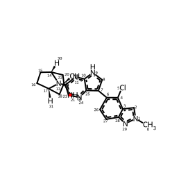 Cn1cc2c(Cl)c(-c3c[nH]c4nc(N5[C@@H]6CC[C@H]5C[C@@](C)(N)C6)cnc34)ccc2n1